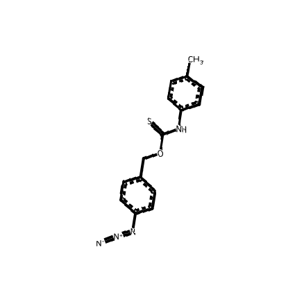 Cc1ccc(NC(=S)OCc2ccc(N=[N+]=[N-])cc2)cc1